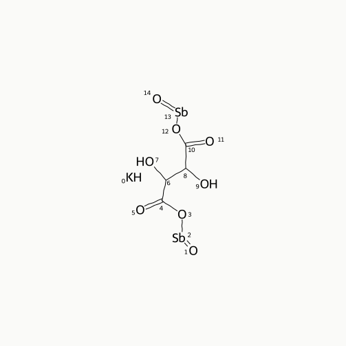 [KH].[O]=[Sb][O]C(=O)C(O)C(O)C(=O)[O][Sb]=[O]